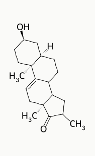 CC1CC2C3CC[C@@H]4C[C@H](O)CC[C@]4(C)C3=CC[C@]2(C)C1=O